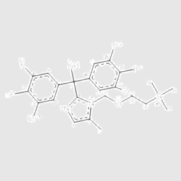 Cc1cnc(C(O)(c2cc(F)c(F)c(Cl)c2)c2cc(F)c(F)c(Cl)c2)n1COCC[Si](C)(C)C